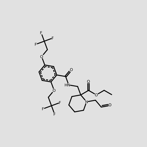 CCOC(=O)C1(CNC(=O)c2cc(OCC(F)(F)F)ccc2OCC(F)(F)F)CCCCN1CC=O